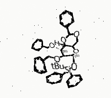 CC(C)(C)[Si](O[C@@H]1OC2COC(c3ccccc3)O[C@H]2[C@@H](OCc2ccccc2)C1OCc1ccccc1)(c1ccccc1)c1ccccc1